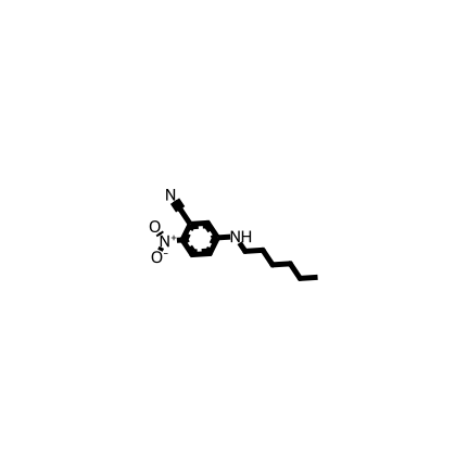 CCCCCCNc1ccc([N+](=O)[O-])c(C#N)c1